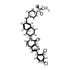 CS(=O)(=O)N1CCN(Cc2ccc3c(c2)CC[C@H](n2cnc4cc(-c5ccc(Cl)cc5Cl)sc4c2=O)C3)CC1